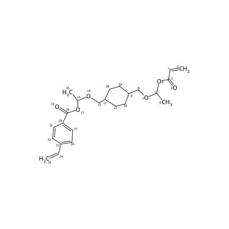 C=CC(=O)OC(C)OCC1CCC(COC(C)OC(=O)c2ccc(C=C)cc2)CC1